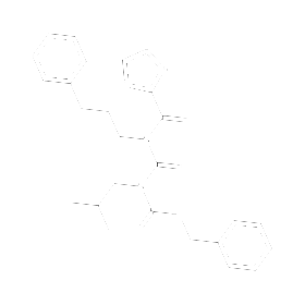 CC(C)CN(C(=O)OCc1ccccc1)C(=O)N(CCCc1ccccc1)C(=O)c1nccs1